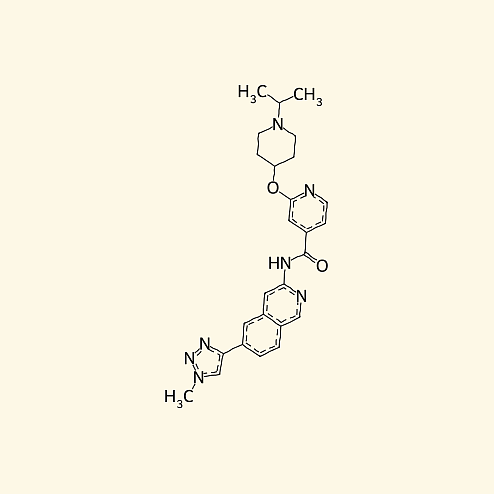 CC(C)N1CCC(Oc2cc(C(=O)Nc3cc4cc(-c5cn(C)nn5)ccc4cn3)ccn2)CC1